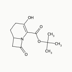 CC(C)(C)OC(=O)C1=C(O)CCC2CC(=O)N12